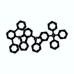 c1ccc(-c2cccc(-c3ccccc3)c2-n2c3ccccc3c3c(-n4c5ccccc5c5cc([Si](c6ccccc6)(c6ccccc6)c6ccccc6)ccc54)cccc32)cc1